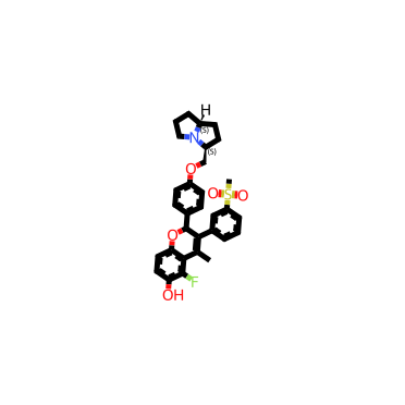 CC1=C(c2cccc(S(C)(=O)=O)c2)C(c2ccc(OC[C@@H]3CC[C@@H]4CCCN43)cc2)Oc2ccc(O)c(F)c21